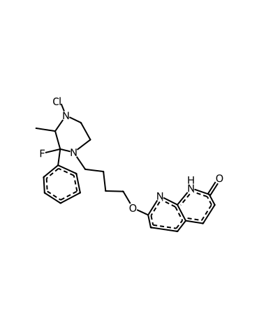 CC1N(Cl)CCN(CCCCOc2ccc3ccc(=O)[nH]c3n2)C1(F)c1ccccc1